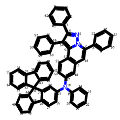 c1ccc(-c2nn3c(-c4ccccc4)cc4cc(N(c5ccccc5)c5ccc6c(c5)C5(c7ccccc7-c7ccccc75)c5ccccc5-6)ccc4c3c2-c2ccccc2)cc1